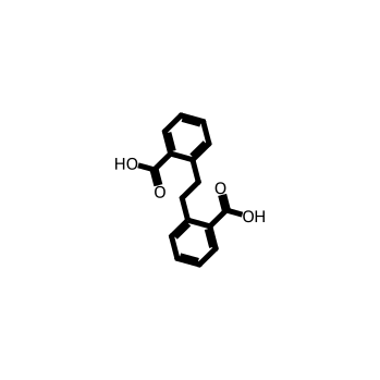 O=C(O)c1ccccc1CCc1ccccc1C(=O)O